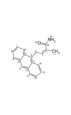 CC(=CCc1c2ccccc2cc2ccccc12)C(N)=O